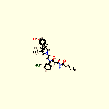 CCCC(=O)NC(=O)CC(=O)N(CCN1CCC(C)(c2cccc(O)c2)C(C)C1)C1CCCCC1.Cl